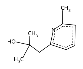 Cc1cccc(CC(C)(C)O)n1